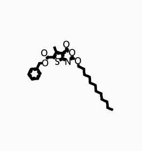 CCCCCCCCCCCCOc1nc2sc(C(=O)OCc3ccccc3)c(C)c2c(=O)o1